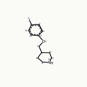 Ic1ccc(OCC2CCNCC2)cc1